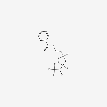 O=C(SCCC(F)(F)CC(F)(F)C(F)C(F)(F)F)c1ccccc1